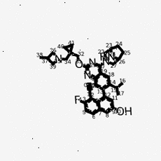 C#Cc1c(F)ccc2cc(O)cc(-c3c(C(C)C)cc4c(N5CC6CCC(C5)N6)nc(OCC5(CN6CC(C)C6)CC5)nc4c3F)c12